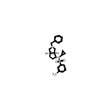 O=S(=O)(c1cccc(C(F)(F)F)c1)N(C1CC1)[C@@H]1CC[C@H]2CN(Cc3ccccc3)C[C@H]21